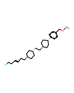 COCc1ccc([C@H]2CC[C@H](CC[C@H]3CC[C@H](CCC=CCCF)CC3)CC2)cc1